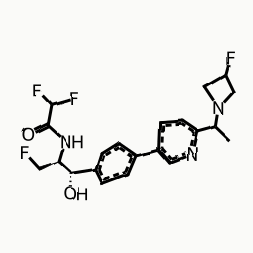 CC(c1ccc(-c2ccc([C@H](O)[C@@H](CF)NC(=O)C(F)F)cc2)cn1)N1CC(F)C1